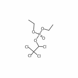 CCOP(=O)(OCC)OC(Cl)C(Cl)(Cl)Cl